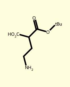 CC(C)(C)OC(=O)C(CCN)C(=O)O